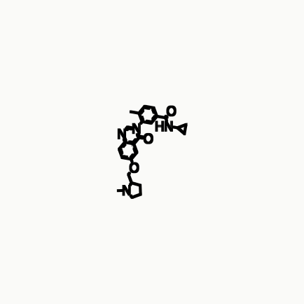 Cc1ccc(C(=O)NC2CC2)cc1-n1cnc2ccc(OCC3CCCN3C)cc2c1=O